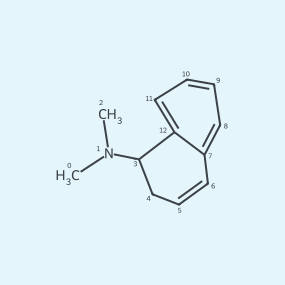 CN(C)[C]1CC=Cc2ccccc21